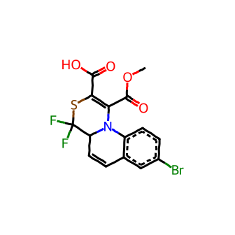 COC(=O)C1=C(C(=O)O)SC(F)(F)C2C=Cc3cc(Br)ccc3N12